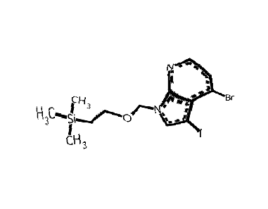 C[Si](C)(C)CCOCn1cc(I)c2c(Br)ccnc21